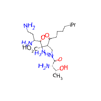 CC(C)CCCCC(=O)C(CNC(=O)[C@@H](N)[C@@H](C)O)C(N)(C(=O)O)C(=O)C(N)CCN